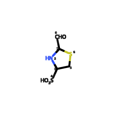 O=CC1NC(S(=O)(=O)O)CS1